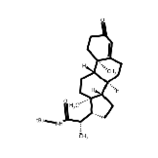 C[C@H](C(=O)NC(C)(C)C)[C@H]1CC[C@H]2[C@@H]3CCC4=CC(=O)CC[C@]4(C)[C@H]3CC[C@]12C